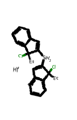 CCC1(Cl)C([SiH2]C2=Cc3ccccc3C2(Cl)CC)=Cc2ccccc21.[Hf]